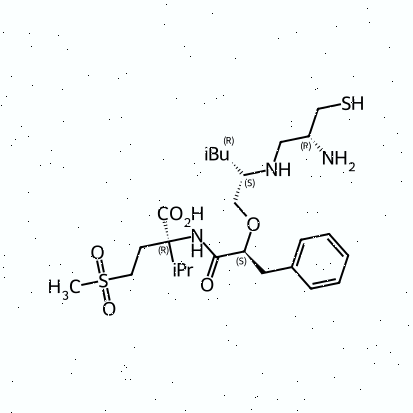 CC[C@@H](C)[C@@H](CO[C@@H](Cc1ccccc1)C(=O)N[C@@](CCS(C)(=O)=O)(C(=O)O)C(C)C)NC[C@@H](N)CS